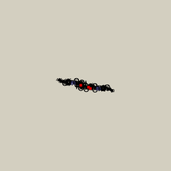 CCCCOc1ccc(/C=C/C(=O)Oc2ccc(C(=O)O[C@H]3CO[C@H]4[C@@H]3OC[C@H]4OC(=O)/C=C/c3ccc(OCCCC)cc3)cc2)cc1